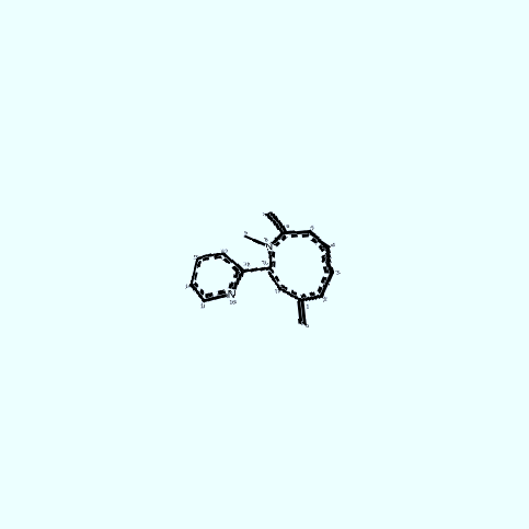 C=c1ccccc(=C)n(C)c(-c2ccccn2)c1